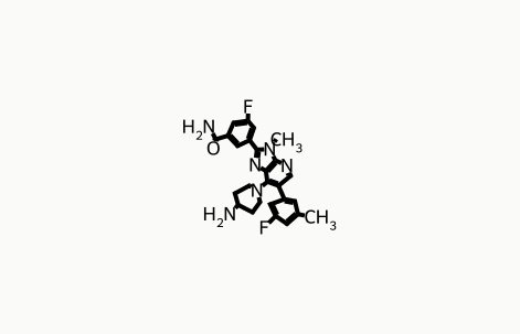 Cc1cc(F)cc(-c2cnc3c(nc(-c4cc(F)cc(C(N)=O)c4)n3C)c2N2CCC(N)CC2)c1